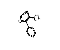 Cc1ccoc1-c1ccccn1